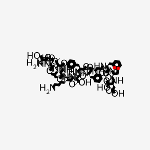 CC(C)C[C@H](NC(=O)[C@@H](NC(=O)[C@H](CO)NC(=O)[C@@H](N)CO)[C@@H](C)O)C(=O)N[C@@H](CCCCN)C(=O)N[C@H](C(=O)N[C@@H](Cc1ccccc1)C(=O)N[C@@H](Cc1ccccc1)C(=O)NCC(=O)N[C@@H](Cc1ccccc1)C(=O)N1CCC[C@H]1C(=O)N[C@@H](CC(=O)O)C(=O)O)[C@@H](C)O